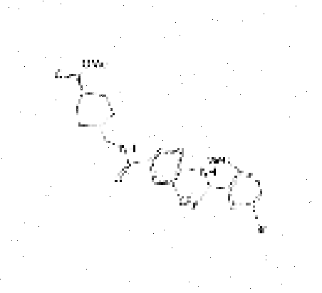 COc1ccc(Br)cc1[C@H](C)Nc1ncc(C(=O)NC[C@H]2CC[C@H](C(=O)OC)CC2)cc1C(F)(F)F